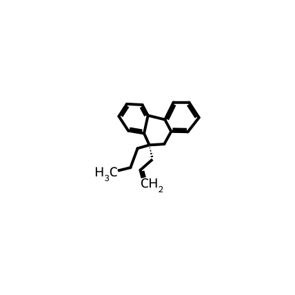 C=CC[C@@]1(CCC)Cc2ccccc2-c2ccccc21